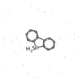 c1ccc2[c](c1)[SnH2][c]1ccccc1-2